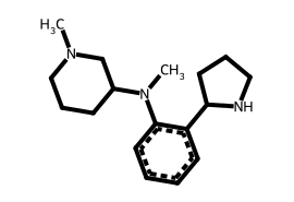 CN1CCCC(N(C)c2ccccc2C2CCCN2)C1